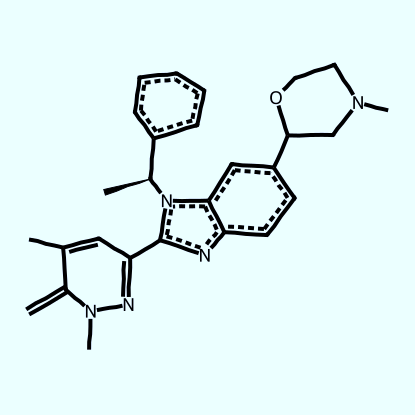 C=C1C(C)=CC(c2nc3ccc(C4CN(C)CCO4)cc3n2[C@@H](C)c2ccccc2)=NN1C